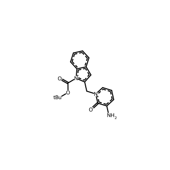 CC(C)(C)OC(=O)n1c(Cn2cccc(N)c2=O)cc2ccccc21